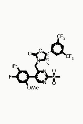 COc1cc(F)c(C(C)C)cc1-c1cnc(S(C)(=O)=O)nc1CN1C(=O)O[C@H](c2cc(C(F)(F)F)cc(C(F)(F)F)c2)[C@@H]1C